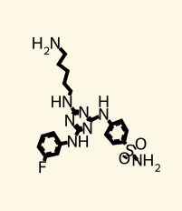 NCCCCCNc1nc(Nc2ccc(S(N)(=O)=O)cc2)nc(Nc2cccc(F)c2)n1